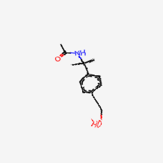 CC(=O)NC(C)(C)c1ccc(CO)cc1